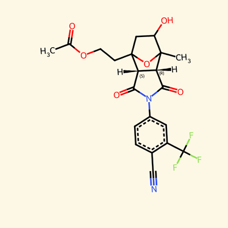 CC(=O)OCCC12CC(O)C(C)(O1)[C@@H]1C(=O)N(c3ccc(C#N)c(C(F)(F)F)c3)C(=O)[C@@H]12